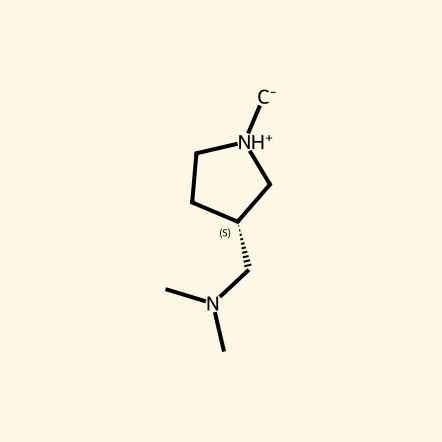 [CH2-][NH+]1CC[C@@H](CN(C)C)C1